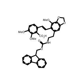 COc1ccc(/C=C/c2c(CCNC(=O)OCC3c4ccccc4-c4ccccc43)cc3c(c2OC)OCO3)c(C(=O)O)c1OC